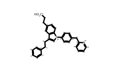 O=C(O)CCc1ccc2c(c1)c(CCc1ccccc1)cn2-c1ccc(Cc2ccccn2)cc1